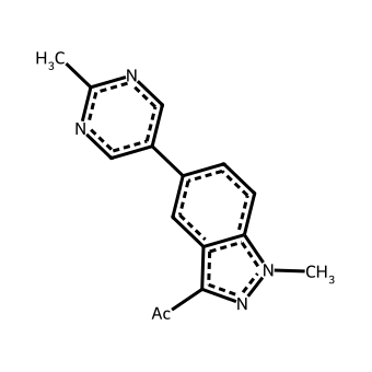 CC(=O)c1nn(C)c2ccc(-c3cnc(C)nc3)cc12